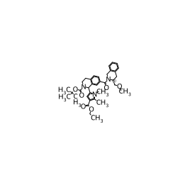 CCOC(=O)c1cc(C2c3cc(C(=O)N4Cc5ccccc5C[C@H]4COC)ccc3CCN2C(=O)OC(C)(C)C)n(C)c1C